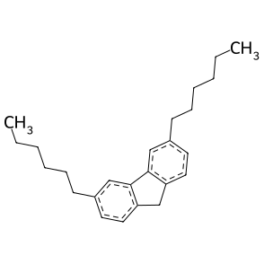 CCCCCCc1ccc2c(c1)-c1cc(CCCCCC)ccc1C2